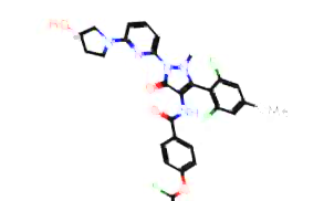 COc1cc(F)c(-c2c(NC(=O)c3ccc(OC(F)F)cc3)c(=O)n(-c3cccc(N4CC[C@H](O)C4)n3)n2C)c(F)c1